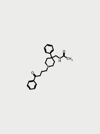 CC(=O)NCC1(c2ccccc2)CCN(CCCC(=O)c2ccccc2)CC1